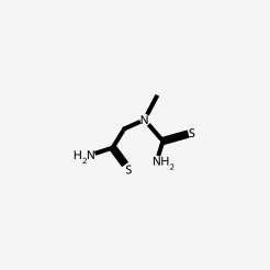 CN(CC(N)=S)C(N)=S